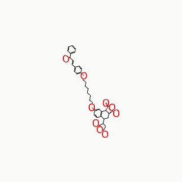 O=C1CC(C2CC3C(=O)OC(=O)C3c3cc(OCCCCCCCCOc4ccc(/C=C/C(=O)c5ccccc5)cc4)ccc32)C(=O)O1